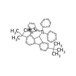 CC(C)(C)c1ccc2c(c1)[CH]([Ti](=[SiH2])([c]1ccccc1)[c]1ccccc1)c1c-2ccc(C(C)(C)C)c1C1=CC=CC1